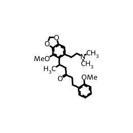 COc1ccccc1CCC(=O)CC(C)c1c(CCN(C)C)cc2c(c1OC)OCO2